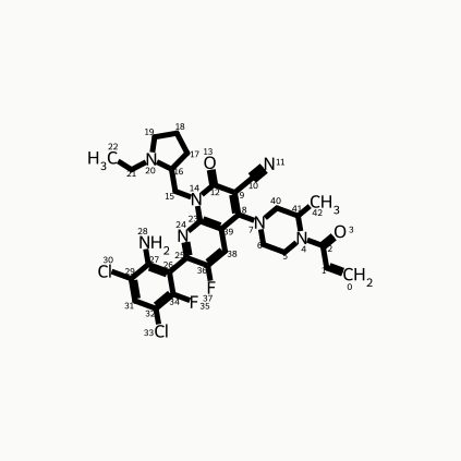 C=CC(=O)N1CCN(c2c(C#N)c(=O)n(CC3CCCN3CC)c3nc(-c4c(N)c(Cl)cc(Cl)c4F)c(F)cc23)CC1C